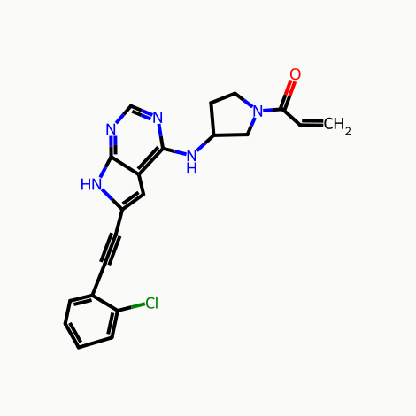 C=CC(=O)N1CCC(Nc2ncnc3[nH]c(C#Cc4ccccc4Cl)cc23)C1